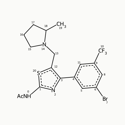 CC(=O)Nc1nc(-c2cc(Br)cc(C(F)(F)F)c2)c(CN2CCCC2C)s1